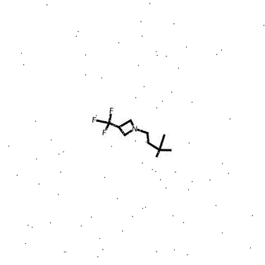 CC(C)(C)CCN1CC(C(F)(F)F)C1